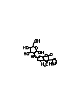 Cc1c(-c2ccc[nH]2)c(=O)oc2cc(NC3C(O)OC(CO)[C@H](O)C3O)ccc12